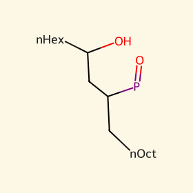 CCCCCCCCCC(CC(O)CCCCCC)P=O